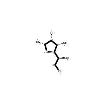 N[C@H]1[C@@H](O)[C@@H](O)O[C@@H]1[C@@H](O)CO